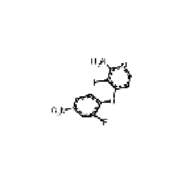 Nc1nccc(Oc2ccc([N+](=O)[O-])cc2F)c1I